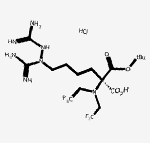 CC(C)(C)OC(=O)[C@@](CCCCN(NC(=N)N)C(=N)N)(C(=O)O)N(CC(F)(F)F)CC(F)(F)F.Cl